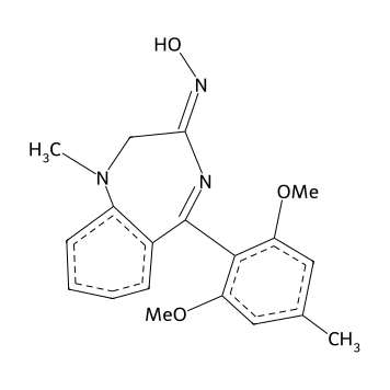 COc1cc(C)cc(OC)c1C1=N/C(=N/O)CN(C)c2ccccc21